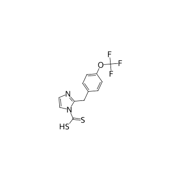 FC(F)(F)Oc1ccc(Cc2nccn2C(=S)S)cc1